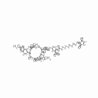 C=CC[C@H]1C(=O)C(C)(C)[C@@H](O)CC(=O)O[C@H](c2ccc3sc(C)nc3c2)C[C@H]2O[C@@]2(C)CCC[C@H](C)[C@@H]1OC(=O)OCc1ccc(OC(=O)CCCCCCCCCCN2C(=O)C=CC2=O)c([N+](=O)[O-])c1